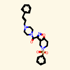 O=C(c1noc2c1CN(S(=O)(=O)c1ccccc1)CC2)N1CCN(CC=Cc2ccccc2)CC1